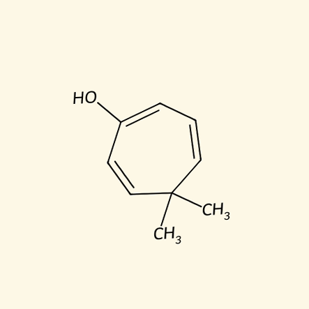 CC1(C)C=CC=C(O)C=C1